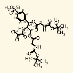 CC(C)(C)OC(=O)NCC(=O)OC[C@@H](NC(=O)C(Cl)Cl)[C@H](OC(=O)CNC(=O)OC(C)(C)C)c1ccc(S(C)(=O)=O)cc1